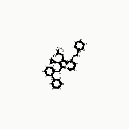 NC(=O)Cc1c(C2CC2)c(Cc2ccccc2-c2ccccc2)n2cccc(OCc3ccccc3)c12